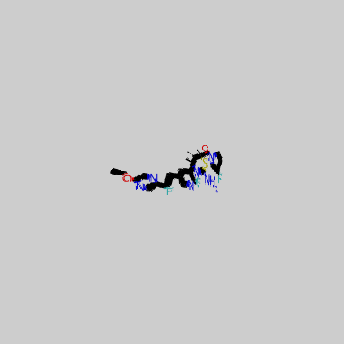 C#CCOc1cnc(/C(F)=C/c2cnc(F)c([C@@]3(C)N=C(N)S[C@](C)(C(=O)N4CC[C@@H](F)C4)[C@H]3C)c2)cn1